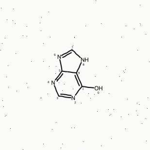 Oc1ncnc2n[c][nH]c12